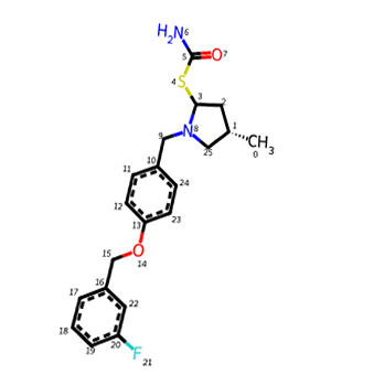 C[C@H]1CC(SC(N)=O)N(Cc2ccc(OCc3cccc(F)c3)cc2)C1